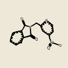 O=C1c2ccccc2C(=O)N1Cc1cc([N+](=O)[O-])ccn1